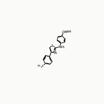 COc1ccc(Nc2nc(-c3ccc(C)cc3)cs2)cc1